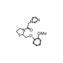 COc1ccccc1OCC1SCCN1C(=O)Cn1ccnc1